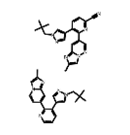 Cc1cn2ccc(-c3ncccc3-c3cnn(CC(C)(C)C)c3)cc2n1.Cc1cn2ncc(-c3nc(C#N)ccc3-c3cnn(CC(C)(C)C)c3)cc2n1